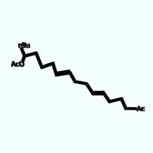 CCCCC(CCCC=CCCC=CCCCC(C)=O)OC(C)=O